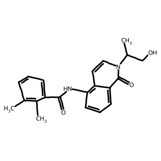 Cc1cccc(C(=O)Nc2cccc3c(=O)n(C(C)CO)ccc23)c1C